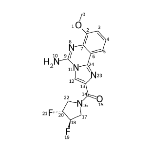 COc1cccc2c1nc(N)n1cc(C(=O)N3C[C@@H](F)[C@H](F)C3)nc21